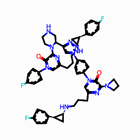 O=c1c(N2CCC2)nc(CCCN[C@@H]2C[C@H]2c2ccc(F)cc2)cn1-c1ccc(-n2cc(C3CNCCN3c3nc(CCCN[C@@H]4C[C@H]4c4ccc(F)cc4)cn(-c4ccc(F)cc4)c3=O)nn2)cc1